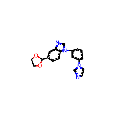 c1cc(-n2ccnc2)cc(-n2cnc3cc(C4OCCO4)ccc32)c1